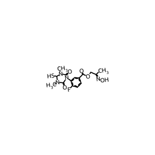 CC(COC(=O)c1ccc(F)c(N2C(=O)N(C)C(S)N(C)C2=O)c1)=NO